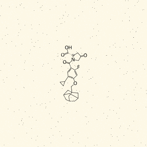 O=C1C[C@@H](C(=O)O)N(C(=O)c2cc(C3CC3)c(OCC34CC5CC(CC(C5)C3)C4)cc2F)C1